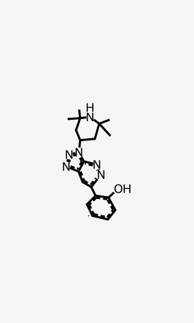 CC1(C)CC(n2nnc3cc(-c4c[c]ccc4O)nnc32)CC(C)(C)N1